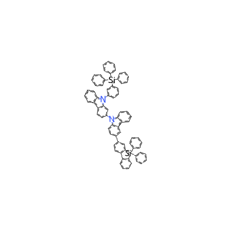 c1ccc([Si](c2ccccc2)(c2ccccc2)c2cccc(-n3c4ccccc4c4ccc(-n5c6ccccc6c6cc(-c7ccc8c(c7)[Si](c7ccccc7)(c7ccccc7)c7ccccc7-8)ccc65)cc43)c2)cc1